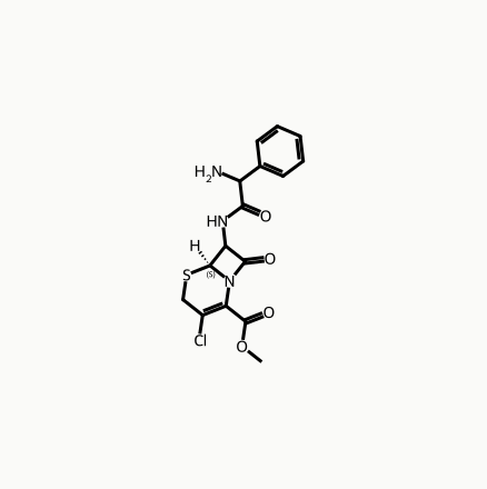 COC(=O)C1=C(Cl)CS[C@H]2C(NC(=O)C(N)c3ccccc3)C(=O)N12